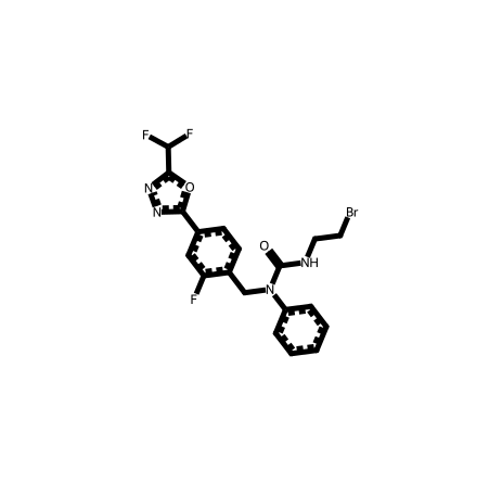 O=C(NCCBr)N(Cc1ccc(-c2nnc(C(F)F)o2)cc1F)c1ccccc1